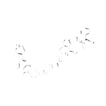 O=C(CN1CCN(CC2CCN(C(=O)c3c(F)cc(-c4ccncc4)cc3F)CC2)CC1)N1CCN(C(=O)c2cc(Cc3n[nH]c(=O)c4ccccc34)ccc2F)CC1